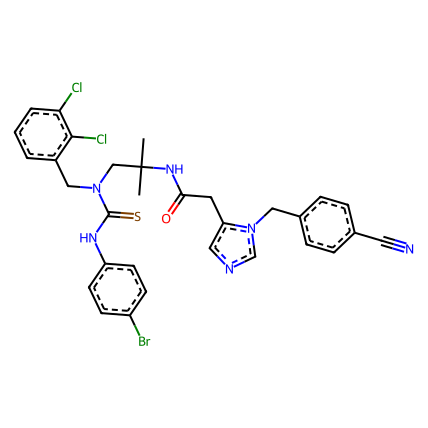 CC(C)(CN(Cc1cccc(Cl)c1Cl)C(=S)Nc1ccc(Br)cc1)NC(=O)Cc1cncn1Cc1ccc(C#N)cc1